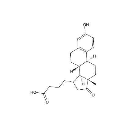 C[C@]12CC[C@@H]3c4ccc(O)cc4CC[C@H]3[C@@H]1C(CCCC(=O)O)CC2=O